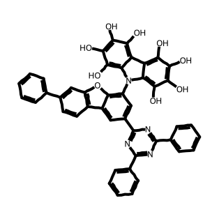 Oc1c(O)c(O)c2c(c1O)c1c(O)c(O)c(O)c(O)c1n2-c1cc(-c2nc(-c3ccccc3)nc(-c3ccccc3)n2)cc2c1oc1cc(-c3ccccc3)ccc12